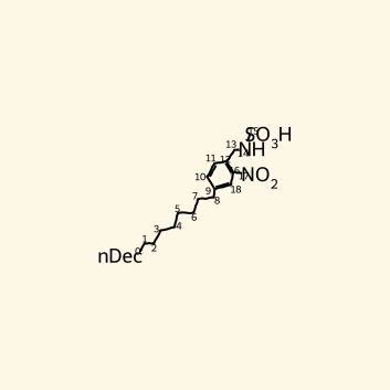 CCCCCCCCCCCCCCCCCCc1ccc(CNS(=O)(=O)O)c([N+](=O)[O-])c1